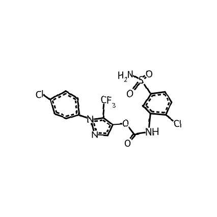 NS(=O)(=O)c1ccc(Cl)c(NC(=O)Oc2cnn(-c3ccc(Cl)cc3)c2C(F)(F)F)c1